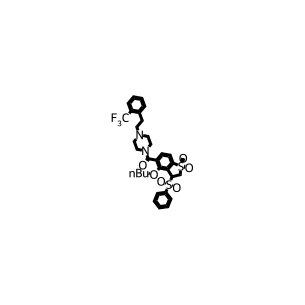 CCCCOc1c(C(=O)N2CCN(CCc3ccccc3C(F)(F)F)CC2)ccc2c1C(S(=O)(=O)c1ccccc1)CS2(=O)=O